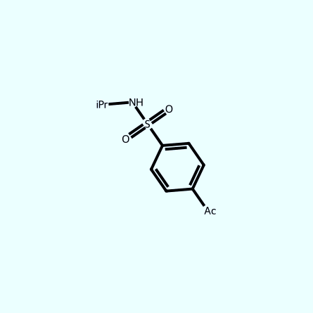 CC(=O)c1ccc(S(=O)(=O)NC(C)C)cc1